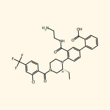 CC[C@@H]1CN(C(=O)c2ccc(C(F)(F)F)cc2Cl)CCN1c1ccc(-c2ccccc2C(=O)O)cc1C(=O)NCCN